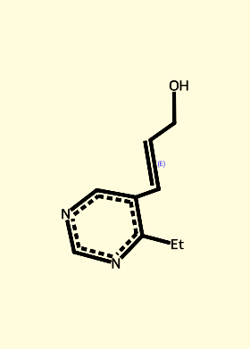 CCc1ncncc1/C=C/CO